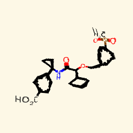 CS(=O)(=O)c1cccc(COC(C(=O)NC2(c3ccc(C(=O)O)cc3)CC2)C2CCC2)c1